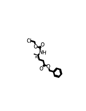 C[C@H](CCC(=O)OCc1ccccc1)NC(=O)OCCl